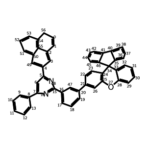 C1=Cc2cc(-c3cc(-c4ccccc4)nc(-c4cccc(-c5ccc6c(c5)Oc5ccccc5C65c6ccccc6-c6ccccc65)c4)n3)cc3cccc(c23)C1